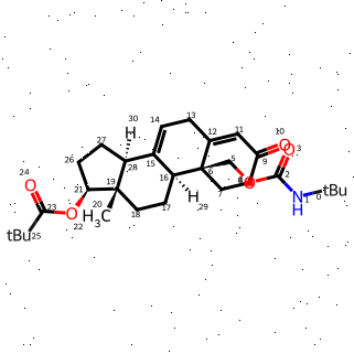 CC(C)(C)NC(=O)OC[C@]12CCC(=O)C=C1CC=C1[C@@H]2CC[C@]2(C)[C@@H](OC(=O)C(C)(C)C)CC[C@@H]12